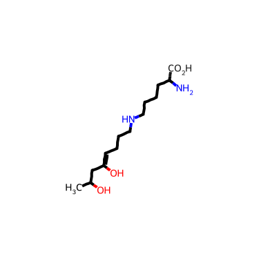 CC(O)CC(O)=CCCCNCCCCC(N)C(=O)O